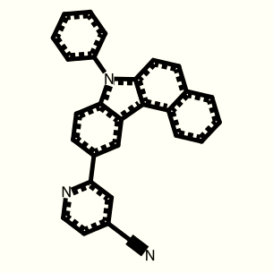 N#Cc1ccnc(-c2ccc3c(c2)c2c4ccccc4ccc2n3-c2ccccc2)c1